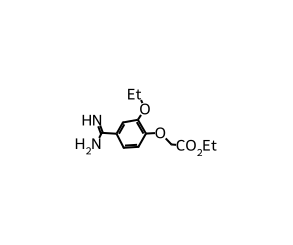 CCOC(=O)COc1ccc(C(=N)N)cc1OCC